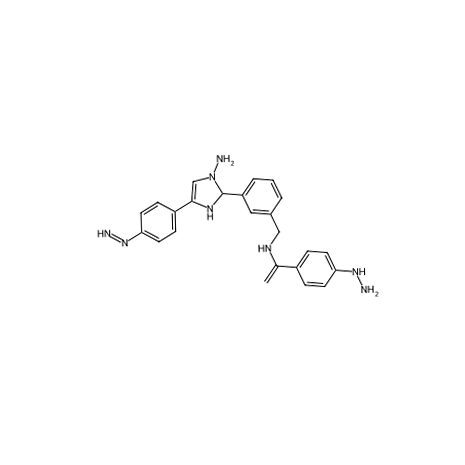 C=C(NCc1cccc(C2NC(c3ccc(N=N)cc3)=CN2N)c1)c1ccc(NN)cc1